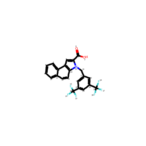 O=C(O)c1cc2c3ccccc3ccc2n1Cc1cc(C(F)(F)F)cc(C(F)(F)F)c1